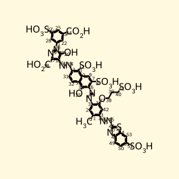 Cc1cc(N=Nc2c(S(=O)(=O)O)cc3c(S(=O)(=O)O)c(N=Nc4c(C(=O)O)nn(-c5cc(C(=O)O)cc(S(=O)(=O)O)c5)c4O)ccc3c2O)c(OCCCS(=O)(=O)O)cc1N=Nc1nc2ccc(S(=O)(=O)O)cc2s1